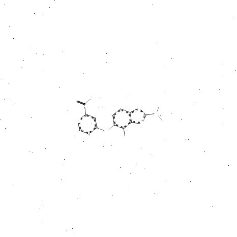 CNC(=O)c1cc(Oc2ccc3nc([S+](C)[O-])sc3c2Cl)ccn1